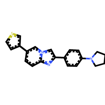 [c]1cc(-c2ccc3nc(-c4ccc(N5CCCC5)cc4)cn3c2)cs1